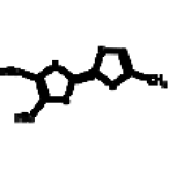 CCCCC1=C(CCCC)SC(=C2SC=C(C)S2)S1